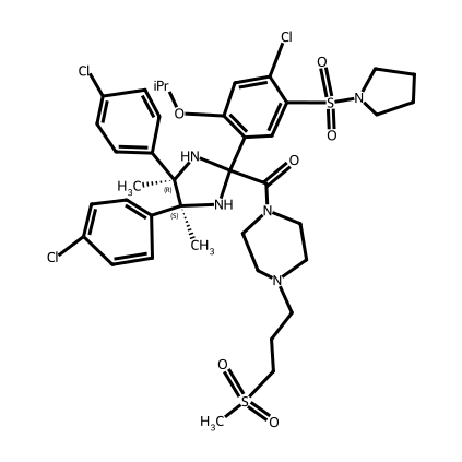 CC(C)Oc1cc(Cl)c(S(=O)(=O)N2CCCC2)cc1C1(C(=O)N2CCN(CCCS(C)(=O)=O)CC2)N[C@@](C)(c2ccc(Cl)cc2)[C@@](C)(c2ccc(Cl)cc2)N1